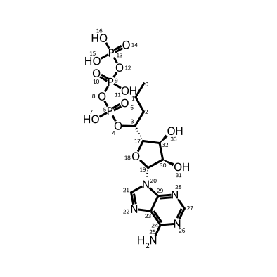 CCCC(OP(=O)(O)OP(=O)(O)OP(=O)(O)O)[C@H]1O[C@@H](n2cnc3c(N)ncnc32)[C@H](O)[C@@H]1O